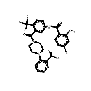 Cc1cc(F)ccc1C(N)=O.O=C(O)c1nnccc1N1CCN(C(=O)c2ccccc2C(F)(F)F)CC1